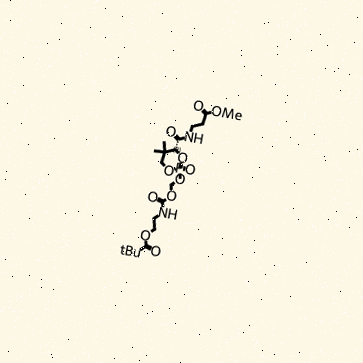 COC(=O)CCNC(=O)[C@@H]1OP(=O)(OCOC(=O)NCCOC(=O)C(C)(C)C)OCC1(C)C